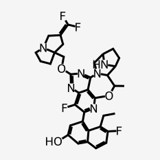 CCc1c(F)ccc2cc(O)cc(-c3nc4c5c(nc(OCC67CCCN6CC(=C(F)F)C7)nc5c3F)N3CC5CCC(N5)C3C(C)O4)c12